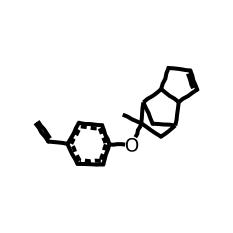 C=Cc1ccc(OC2(C)CC3CC2C2CC=CC32)cc1